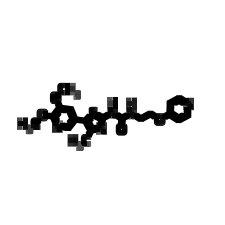 COc1cc(-c2sc(NC(=O)NCCOc3ccncc3)nc2C)cnc1OC